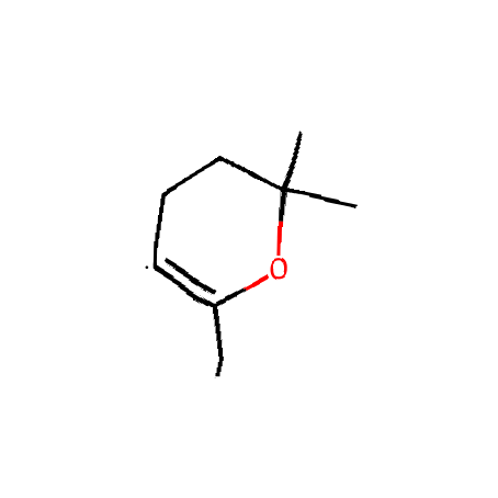 CC1=[C]CCC(C)(C)O1